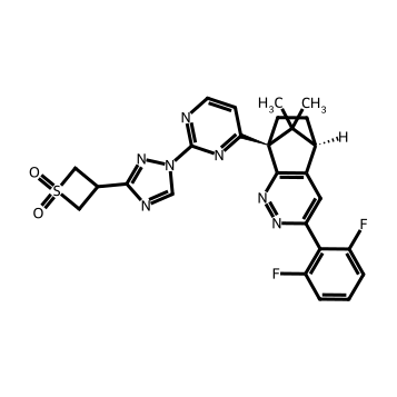 CC1(C)[C@H]2CC[C@@]1(c1ccnc(-n3cnc(C4CS(=O)(=O)C4)n3)n1)c1nnc(-c3c(F)cccc3F)cc12